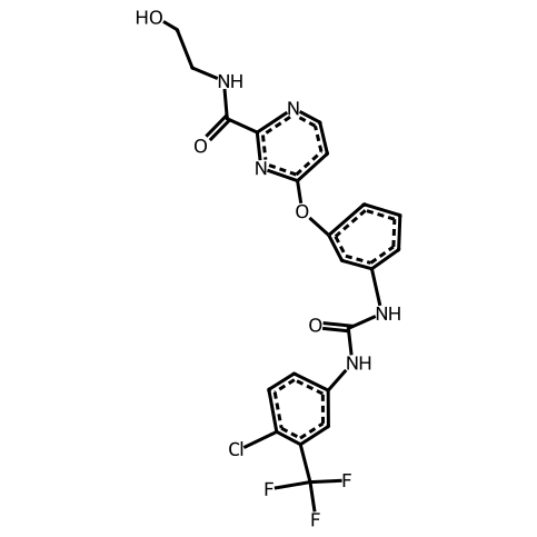 O=C(Nc1cccc(Oc2ccnc(C(=O)NCCO)n2)c1)Nc1ccc(Cl)c(C(F)(F)F)c1